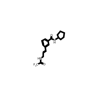 O=C(NC1CCCCC1)c1cccc(C=CCNC(=O)C(F)(F)F)c1